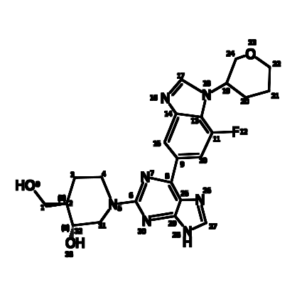 OC[C@H]1CCN(c2nc(-c3cc(F)c4c(c3)ncn4C3CCCOC3)c3nc[nH]c3n2)C[C@@H]1O